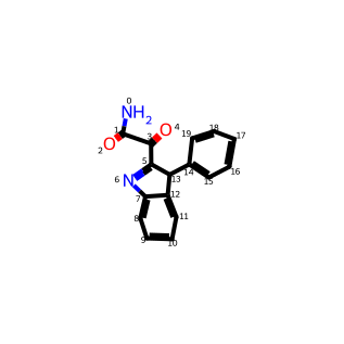 NC(=O)C(=O)C1=Nc2ccccc2C1c1ccccc1